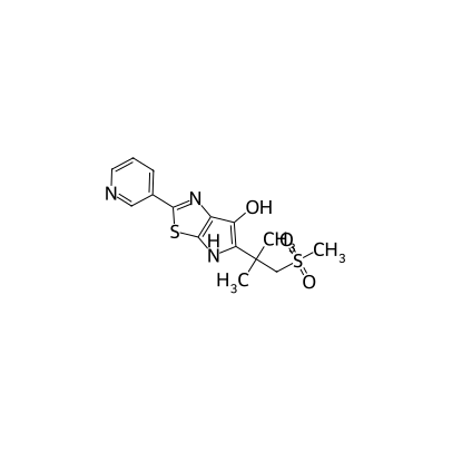 CC(C)(CS(C)(=O)=O)c1[nH]c2sc(-c3cccnc3)nc2c1O